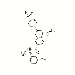 COc1cc(-c2ccc(C(F)(F)F)cc2)nc2cc(C(=O)N[C@@H](C)c3cccc(O)c3)ccc12